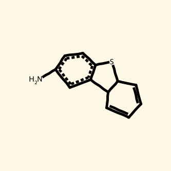 Nc1ccc2c(c1)C1C=CC=CC1S2